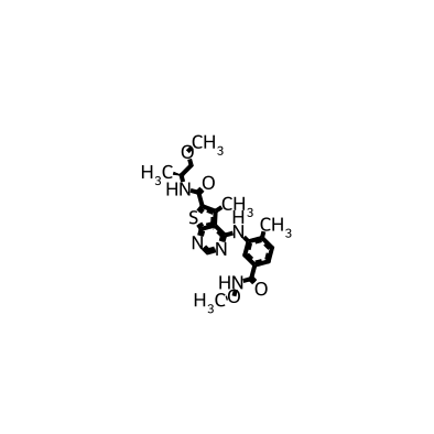 COC[C@H](C)NC(=O)c1sc2ncnc(Nc3cc(C(=O)NOC)ccc3C)c2c1C